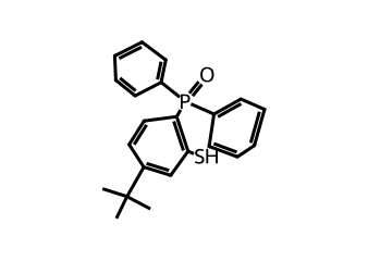 CC(C)(C)c1ccc(P(=O)(c2ccccc2)c2ccccc2)c(S)c1